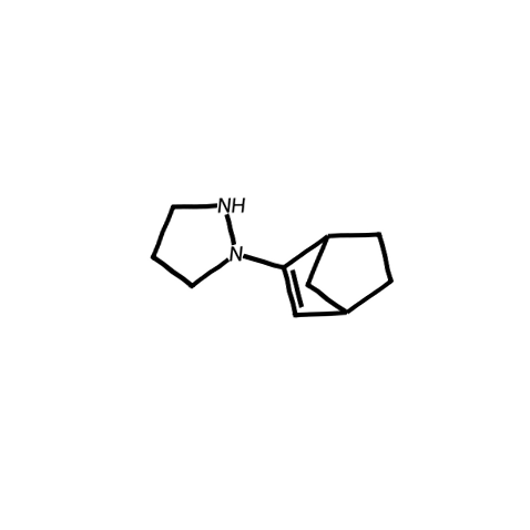 C1=C(N2CCCN2)C2CCC1C2